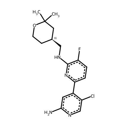 CC1(C)C[C@@H](CNc2nc(-c3cc(N)ncc3Cl)ccc2F)CCO1